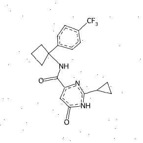 O=C(NC1(c2ccc(C(F)(F)F)cc2)CCC1)c1cc(=O)[nH]c(C2CC2)n1